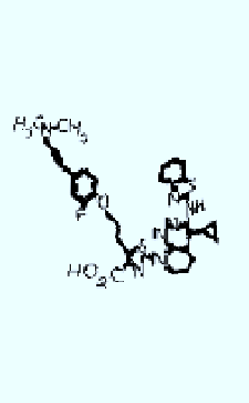 CN(C)CC#Cc1ccc(OCCCc2sc(N3CCCc4c3nnc(Nc3nc5ccccc5s3)c4C3CC3)nc2C(=O)O)c(F)c1